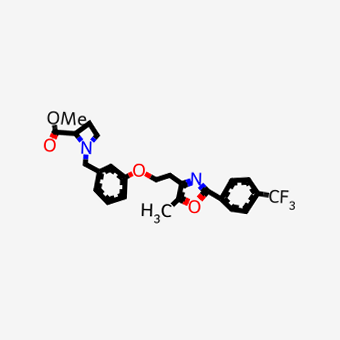 COC(=O)C1CCN1Cc1cccc(OCCc2nc(-c3ccc(C(F)(F)F)cc3)oc2C)c1